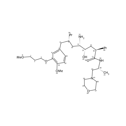 COCCCOc1cc(C[C@@H](C[C@H](N)[C@@H](O)C[C@H](C(=O)N[C@H](C)CN2CCOCC2)C(C)C)C(C)C)ccc1OC